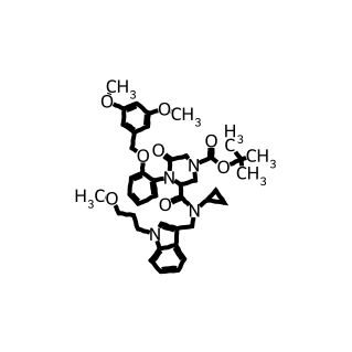 COCCCn1cc(CN(C(=O)C2CN(C(=O)OC(C)(C)C)CC(=O)N2c2ccccc2OCc2cc(OC)cc(OC)c2)C2CC2)c2ccccc21